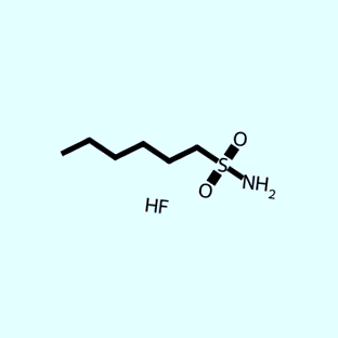 CCCCCCS(N)(=O)=O.F